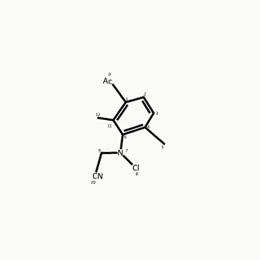 CC(=O)c1ccc(C)c(N(Cl)CC#N)c1C